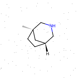 C[C@]12CC[C@@H](CNC1)C2